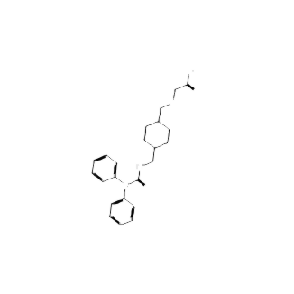 O=C(O)COCC1CCC(CNC(=O)N(c2ccccc2)c2ccccc2)CC1